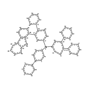 c1ccc(-c2ccc(N(c3ccc(-c4ccccc4)c(-c4ccccc4)c3)c3ccc(-c4ccccc4)c(-c4cccc5c4oc4ccccc45)c3)cc2)cc1